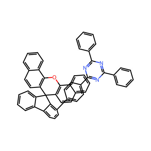 c1ccc(-c2nc(-c3ccccc3)nc(-c3ccc(-c4cccc5c4C4(c6ccccc6-5)c5ccc6ccccc6c5Oc5c4ccc4ccccc54)cc3)n2)cc1